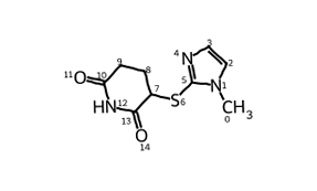 Cn1ccnc1SC1CCC(=O)NC1=O